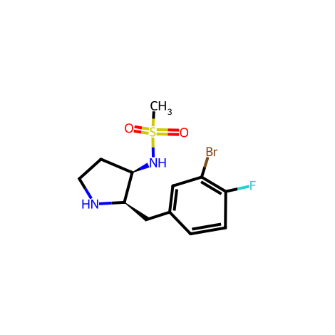 CS(=O)(=O)N[C@@H]1CCN[C@@H]1Cc1ccc(F)c(Br)c1